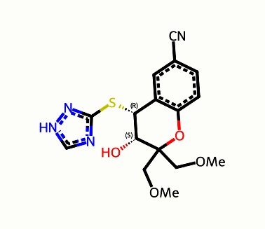 COCC1(COC)Oc2ccc(C#N)cc2[C@@H](Sc2nc[nH]n2)[C@H]1O